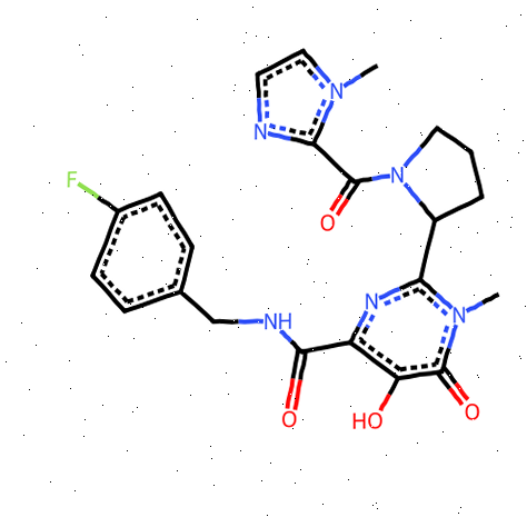 Cn1ccnc1C(=O)N1CCCC1c1nc(C(=O)NCc2ccc(F)cc2)c(O)c(=O)n1C